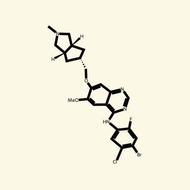 COc1cc2c(Nc3cc(Cl)c(Br)cc3F)ncnc2cc1OC[C@@H]1C[C@@H]2CN(C)C[C@@H]2C1